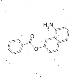 Nc1cccc2ccc(OC(=O)c3ccccc3)cc12